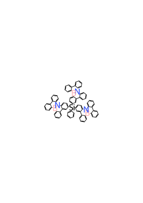 c1ccc([Si](c2ccc3c(c2)-c2ccccc2N2B3c3ccccc3-c3ccccc32)(c2ccc3c(c2)-c2ccccc2B2c4ccccc4-c4ccccc4N23)c2ccc3c(c2)-c2ccccc2B2c4ccccc4-c4ccccc4N23)cc1